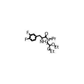 CCOC(CN(C(=O)C(N)Cc1ccc(F)c(F)c1)C(C)C)OCC